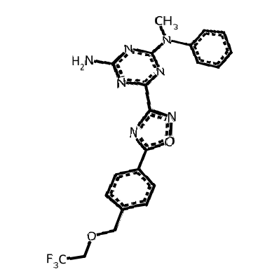 CN(c1ccccc1)c1nc(N)nc(-c2noc(-c3ccc(COCC(F)(F)F)cc3)n2)n1